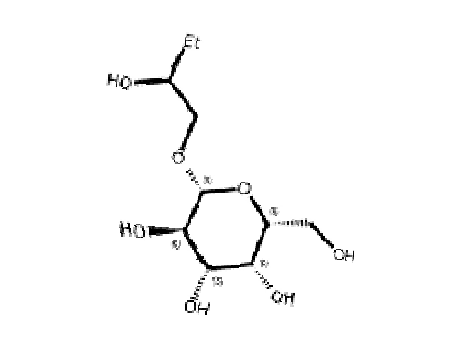 CCC(O)CO[C@@H]1O[C@H](CO)[C@H](O)[C@H](O)[C@H]1O